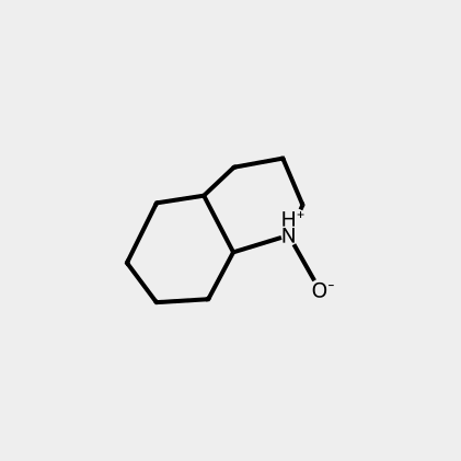 [O-][NH+]1CCCC2CCCCC21